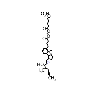 CC#CCC(C)C(O)/C=C/C1CCC2Oc3c(CCCC(=O)OCOC(=O)CCCCO[N+](=O)[O-])cccc3C12